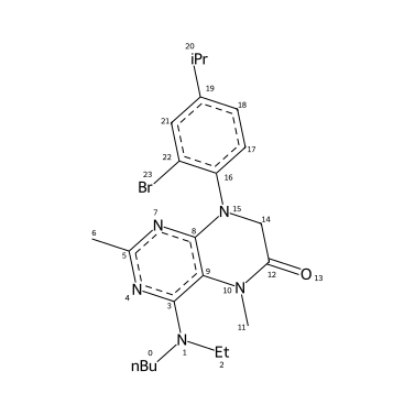 CCCCN(CC)c1nc(C)nc2c1N(C)C(=O)CN2c1ccc(C(C)C)cc1Br